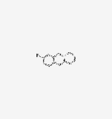 Fc1ccc2cc3ccccc3cc2c1